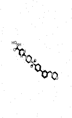 O=C(NO)c1cnc(N2CCN(S(=O)(=O)C3C=CC(c4cccc(CN5CCOCC5)c4)=CC3)CC2)nc1